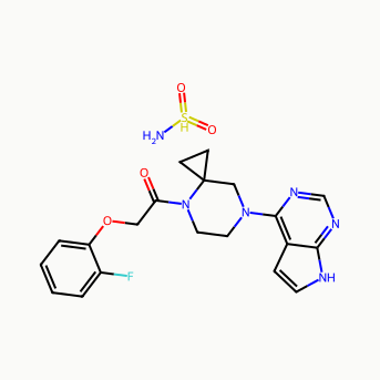 N[SH](=O)=O.O=C(COc1ccccc1F)N1CCN(c2ncnc3[nH]ccc23)CC12CC2